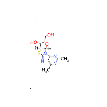 Cc1nc(C)c2nc3n(c2n1)[C@@H]1O[C@H](CO)C(O)[C@@H]1S3